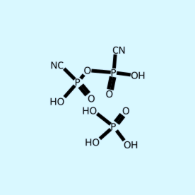 N#CP(=O)(O)OP(=O)(O)C#N.O=P(O)(O)O